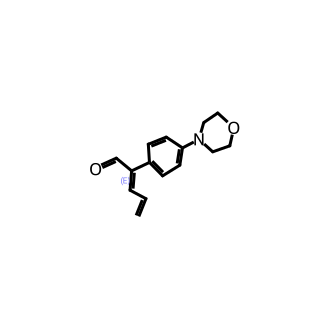 C=C/C=C(/C=O)c1ccc(N2CCOCC2)cc1